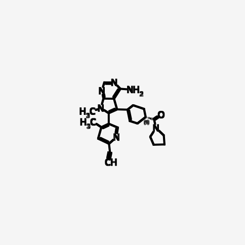 C#Cc1cc(C)c(-c2c(C3=CC[C@@H](C(=O)N4CCCC4)CC3)c3c(N)ncnc3n2C)cn1